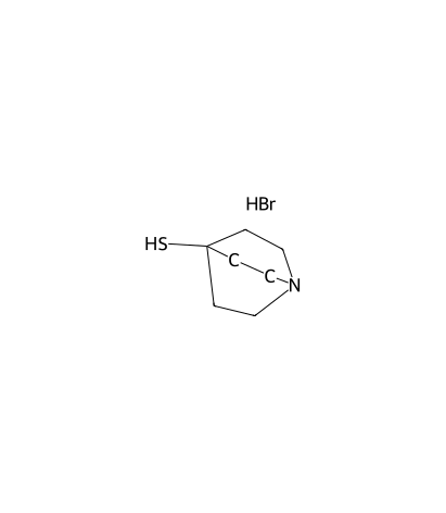 Br.SC12CCN(CC1)CC2